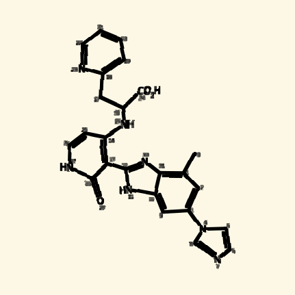 Cc1cc(-n2ccnc2)cc2[nH]c(-c3c(NC(Cc4ccccn4)C(=O)O)cc[nH]c3=O)nc12